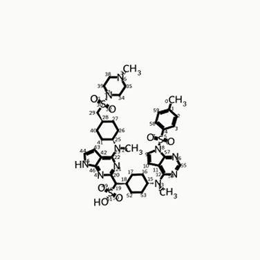 Cc1ccc(S(=O)(=O)n2ccc3c(N(C)[C@H]4CC[C@H](C(c5nc(N(C)[C@H]6CC[C@H](CS(=O)(=O)N7CCN(C)CC7)CC6)c6cc[nH]c6n5)S(=O)(=O)O)CC4)ncnc32)cc1